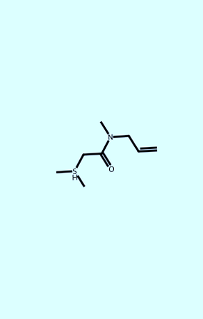 C=CCN(C)C(=O)C[SH](C)C